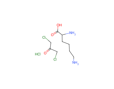 Cl.NCCCCC(N)C(=O)O.O=C(CCl)CCl